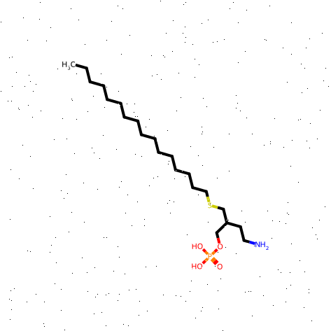 CCCCCCCCCCCCCCCCSCC(CCN)COP(=O)(O)O